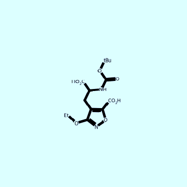 CCOc1noc(C(=O)O)c1CC(NC(=O)OC(C)(C)C)C(=O)O